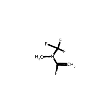 C=C(F)N(C)C(F)(F)F